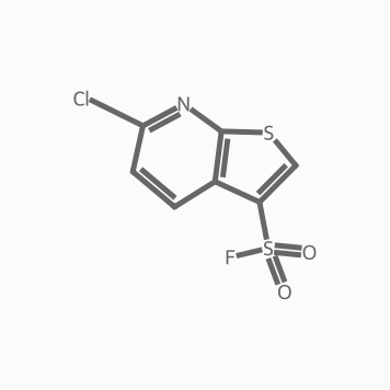 O=S(=O)(F)c1csc2nc(Cl)ccc12